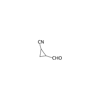 N#CC1CC1C=O